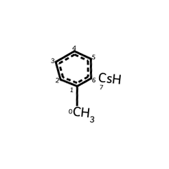 Cc1ccccc1.[CsH]